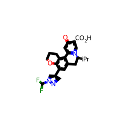 CC(C)C1Cc2cc(-c3cnn(C(F)F)c3)c3c(c2-c2cc(=O)c(C(=O)O)cn21)CCCO3